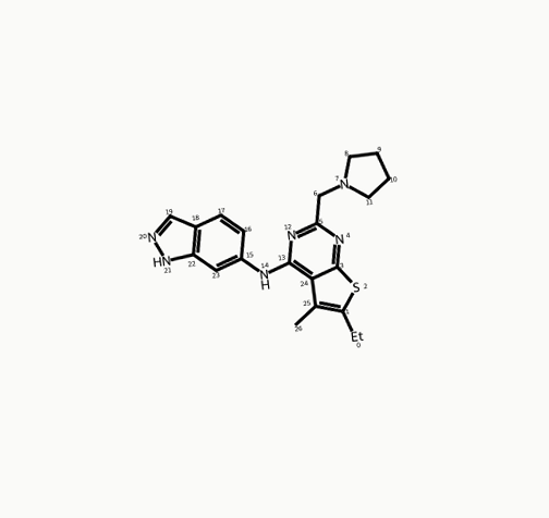 CCc1sc2nc(CN3CCCC3)nc(Nc3ccc4cn[nH]c4c3)c2c1C